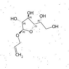 C=CCO[C@@H]1O[C@@H]([C@H](O)CO)[C@H](O)[C@H]1O